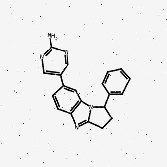 Nc1ncc(-c2ccc3nc4n(c3c2)C(c2ccccc2)CC4)cn1